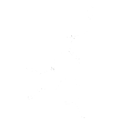 O=C(CN1C(=O)C(=O)c2cc(Br)ccc21)NCC1CC1